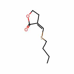 CCCCSC=C1CCOC1=O